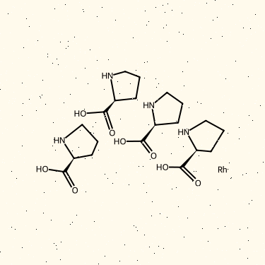 O=C(O)[C@@H]1CCCN1.O=C(O)[C@@H]1CCCN1.O=C(O)[C@@H]1CCCN1.O=C(O)[C@@H]1CCCN1.[Rh]